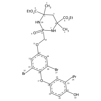 CCOC(=O)C1(C)CC(C)(C(=O)OCC)NP(=O)(COc2cc(Br)c(Oc3ccc(O)c(C(C)C)c3)c(Br)c2)N1